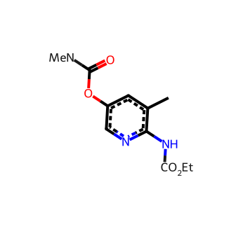 CCOC(=O)Nc1ncc(OC(=O)NC)cc1C